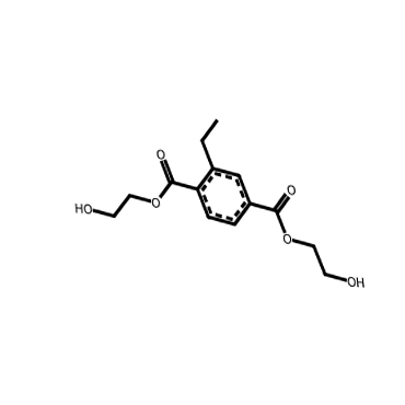 CCc1cc(C(=O)OCCO)ccc1C(=O)OCCO